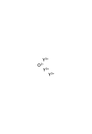 [O-2].[Y+3].[Y+3].[Y+3]